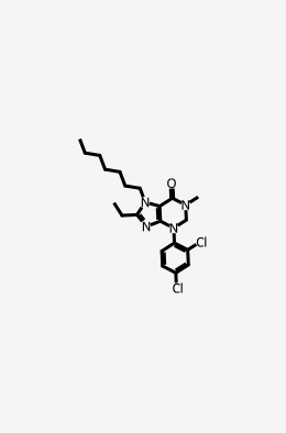 CCCCCCCn1c(CC)nc2c1C(=O)N(C)CN2c1ccc(Cl)cc1Cl